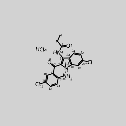 CCC(=O)Nc1c(C(=O)c2cc(Cl)ccc2N)[nH]c2cc(Cl)ccc12.Cl